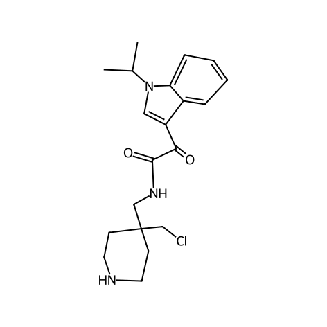 CC(C)n1cc(C(=O)C(=O)NCC2(CCl)CCNCC2)c2ccccc21